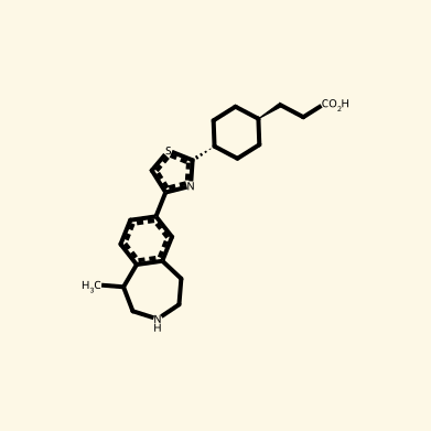 CC1CNCCc2cc(-c3csc([C@H]4CC[C@H](CCC(=O)O)CC4)n3)ccc21